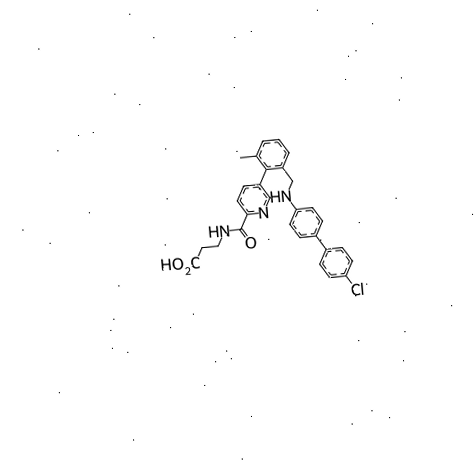 Cc1cccc(CNc2ccc(-c3ccc(Cl)cc3)cc2)c1-c1ccc(C(=O)NCCC(=O)O)nc1